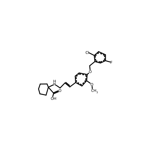 COc1cc(C=CCNC2(C(=O)O)CCCCC2)ccc1OCc1cc(F)ccc1Cl